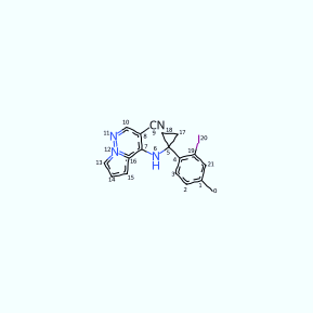 Cc1ccc(C2(Nc3c(C#N)cnn4cccc34)CC2)c(I)c1